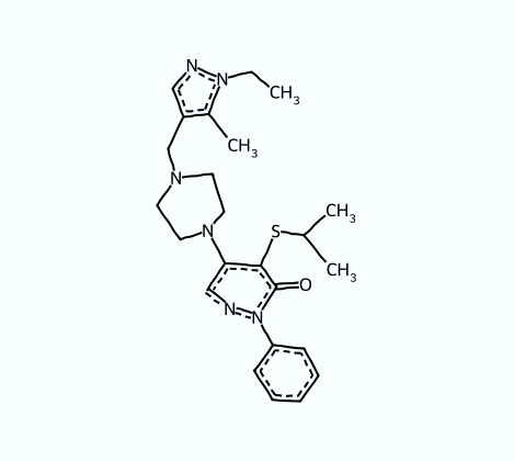 CCn1ncc(CN2CCN(c3cnn(-c4ccccc4)c(=O)c3SC(C)C)CC2)c1C